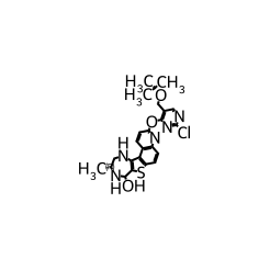 C[C@@H]1CNc2c(sc3ccc4nc(Oc5nc(Cl)ncc5COC(C)(C)C)ccc4c23)C(O)N1